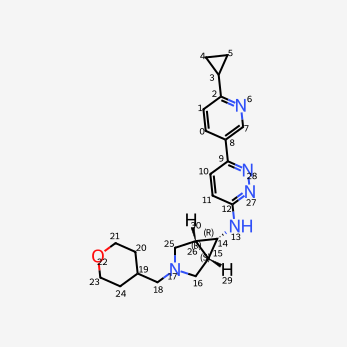 c1cc(C2CC2)ncc1-c1ccc(N[C@@H]2[C@@H]3CN(CC4CCOCC4)C[C@@H]32)nn1